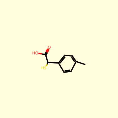 Cc1ccc(C(S)C(=O)O)cc1